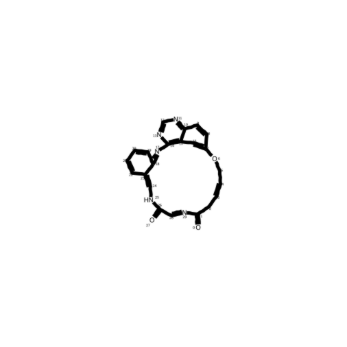 O=C1C/C=C\COc2ccc3ncnc(c3c2)/N=c2\cccc\c2=C/NC(=O)/C=N/1